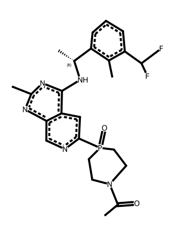 CC(=O)N1CCP(=O)(c2cc3c(N[C@H](C)c4cccc(C(F)F)c4C)nc(C)nc3cn2)CC1